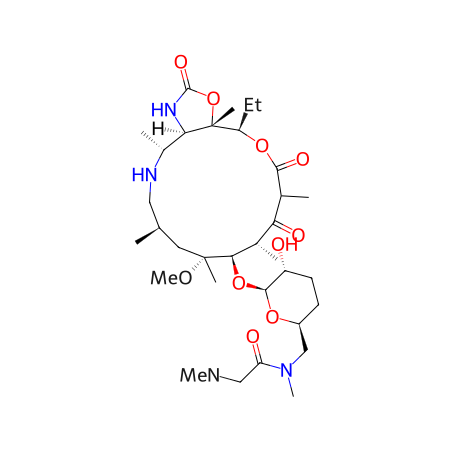 CC[C@H]1OC(=O)C(C)C(=O)[C@H](C)[C@@H](O[C@@H]2O[C@H](CN(C)C(=O)CNC)CC[C@H]2O)[C@](C)(OC)C[C@@H](C)CN[C@H](C)[C@H]2NC(=O)O[C@@]21C